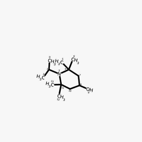 CC(C)N1C(C)(C)CC(O)CC1(C)C